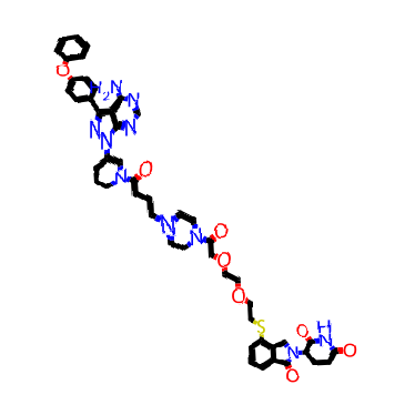 Nc1ncnc2c1c(-c1ccc(Oc3ccccc3)cc1)nn2C1CCCN(C(=O)CCCN2CCN(C(=O)COCCOCCSc3cccc4c3CN(C3CCC(=O)NC3=O)C4=O)CC2)C1